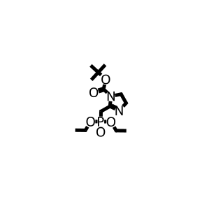 CCOP(=O)(CC1=NCCN1C(=O)OC(C)(C)C)OCC